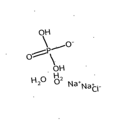 O.O.O=P([O-])(O)O.[Cl-].[Na+].[Na+]